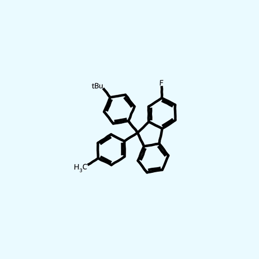 Cc1ccc(C2(c3ccc(C(C)(C)C)cc3)c3ccccc3-c3ccc(F)cc32)cc1